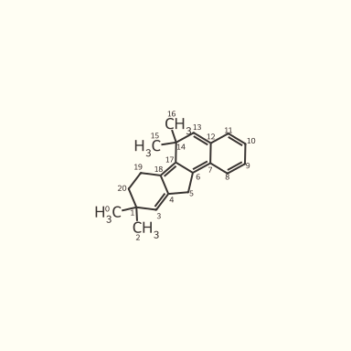 CC1(C)C=C2CC3=c4ccccc4=CC(C)(C)C3=C2CC1